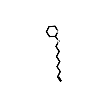 C=CCCCCCCOC1CCCCO1